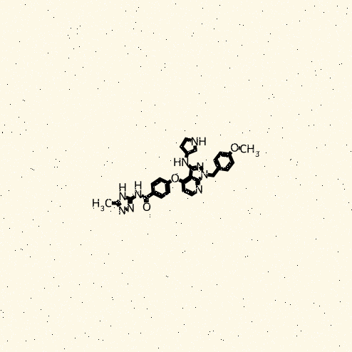 COc1ccc(Cn2nc(NC3CCNC3)c3c(Oc4ccc(C(=O)Nc5nnc(C)[nH]5)cc4)ccnc32)cc1